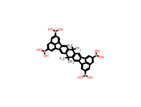 CC1(C(F)(F)F)c2cc3c(cc2C(C)(C(F)(F)F)c2cc4c(cc21)-c1cc(B(O)O)cc2cc(B(O)O)cc-4c12)-c1cc(B(O)O)cc2cc(B(O)O)cc-3c12